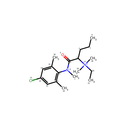 CCCC(C(=O)N(C)c1c(C)cc(Cl)cc1C)[N+](C)(C)CC